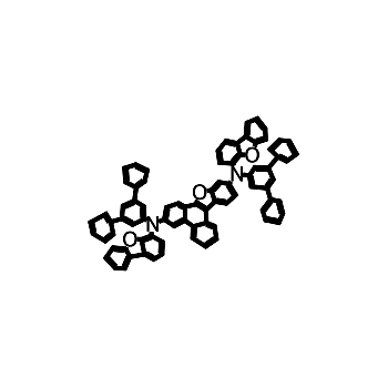 c1ccc(-c2cc(-c3ccccc3)cc(N(c3ccc4c(c3)oc3c5ccc(N(c6cc(-c7ccccc7)cc(-c7ccccc7)c6)c6cccc7c6oc6ccccc67)cc5c5ccccc5c43)c3cccc4c3oc3ccccc34)c2)cc1